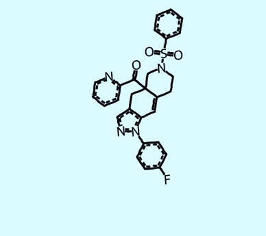 O=C(c1ccccn1)C12Cc3cnn(-c4ccc(F)cc4)c3C=C1CCN(S(=O)(=O)c1ccccc1)C2